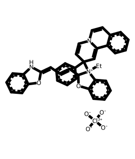 CC[N+]1(C2(c3ccccc3)C=CN3C=Cc4ccccc4C3=C2)c2ccccc2OC1C=CC=C1Nc2ccccc2O1.[O-][Cl+3]([O-])([O-])[O-]